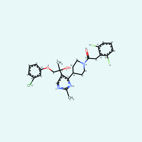 Cc1ncc(C(C)(O)COc2cccc(Cl)c2)c(C2CCN(C(=O)Cc3c(F)cccc3F)CC2)n1